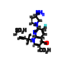 C#CC(C)(C)n1cc(C(=O)O)c(=O)c2cc(F)c(N3CCC(N)C3)nc21.CS(=O)(=O)O